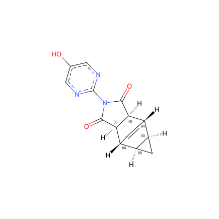 O=C1[C@@H]2[C@@H]3C=C[C@@H]([C@H]4C[C@@H]34)[C@@H]2C(=O)N1c1ncc(O)cn1